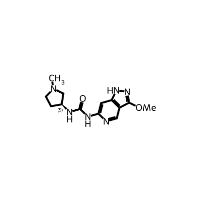 COc1n[nH]c2cc(NC(=O)N[C@H]3CCN(C)C3)ncc12